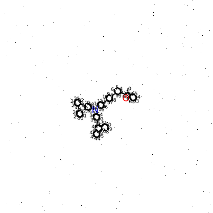 Cc1c(-c2cccc(-c3ccc(-c4ccc(N(c5ccc(-c6ccccc6-c6ccccc6)cc5)c5ccc(-c6cc7ccccc7c7ccccc67)cc5)cc4)cc3)c2)oc2ccccc12